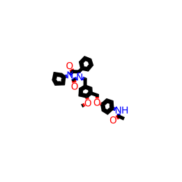 COc1ccc(CN2C(=O)N(c3ccccc3)C(=O)C2c2ccccc2)cc1COc1ccc(NC(C)=O)cc1